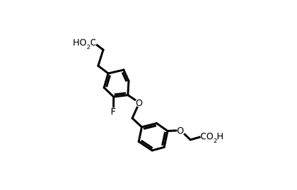 O=C(O)CCc1ccc(OCc2cccc(OCC(=O)O)c2)c(F)c1